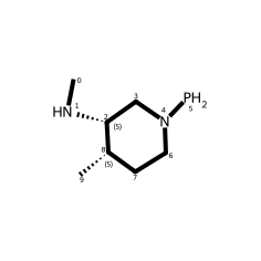 CN[C@@H]1CN(P)CC[C@@H]1C